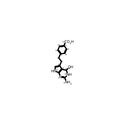 NC1=Nc2[nH]cc(CCc3ccc(C(=O)O)cc3)c2C(O)N1